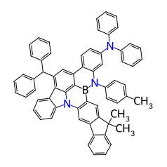 Cc1ccc(N2B3c4cc5c(cc4-n4c6ccccc6c6c(C(c7ccccc7)c7ccccc7)cc(c3c64)-c3ccc(N(c4ccccc4)c4ccccc4)cc32)-c2ccccc2C5(C)C)cc1